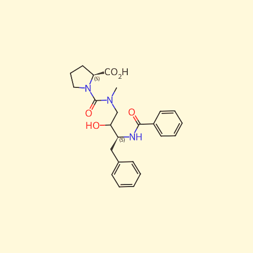 CN(CC(O)[C@H](Cc1ccccc1)NC(=O)c1ccccc1)C(=O)N1CCC[C@H]1C(=O)O